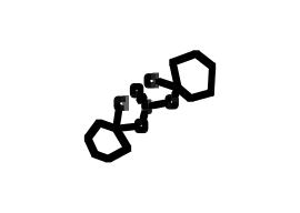 O=S(OC1(Cl)CCCCC1)OC1(Cl)CCCCC1